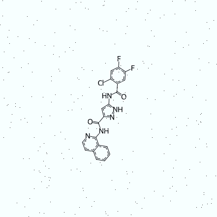 O=C(Nc1nccc2ccccc12)c1cc(NC(=O)c2cc(F)c(F)cc2Cl)[nH]n1